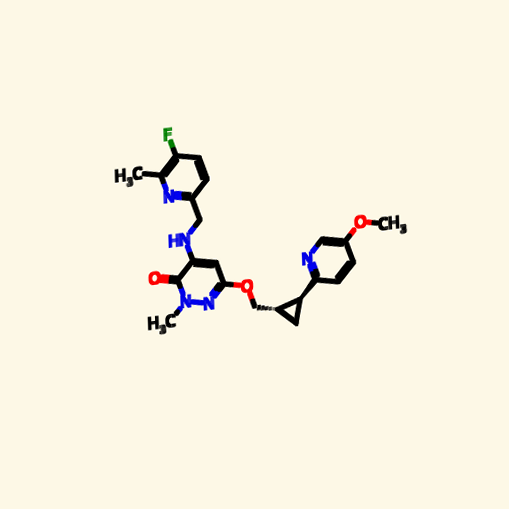 COc1ccc([C@H]2C[C@@H]2COc2cc(NCc3ccc(F)c(C)n3)c(=O)n(C)n2)nc1